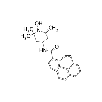 C=C1CC(NC(=O)c2ccc3ccc4cccc5ccc2c3c45)CC(C)(C)N1O